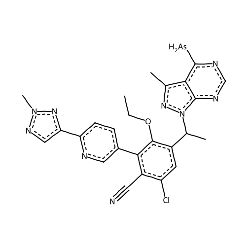 CCOc1c(C(C)n2nc(C)c3c([AsH2])ncnc32)cc(Cl)c(C#N)c1-c1ccc(-c2cnn(C)n2)nc1